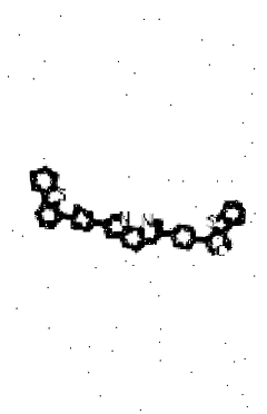 c1ccc2c(c1)sc1c(-c3ccc(-c4cnc5c(ccc6cc(-c7ccc(-c8cccc9c8sc8ccccc89)cc7)cnc65)c4)cc3)cccc12